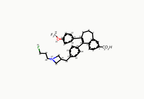 O=C(O)c1ccc2c(c1)CCCC(c1ccc(OC(F)(F)F)cc1)=C2c1ccc(CC2CN(CCCF)C2)cc1